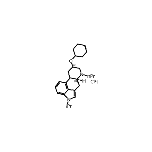 CCCN1C[C@H](OC2CCCCC2)CC2c3cccc4c3c(cn4C(C)C)C[C@H]21.Cl